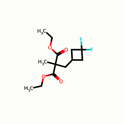 CCOC(=O)C(C)(CC1CC(F)(F)C1)C(=O)OCC